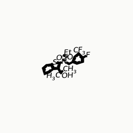 CCS(=O)(=O)N(Cc1ccc(F)c(C(F)(F)F)c1)c1sc2ccccc2c1C(C)(C)O